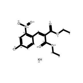 CCOC(=O)C(=Cc1ccc(Cl)cc1[N+](=O)[O-])C(=O)OCC.[KH]